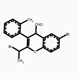 Cc1ccccc1C1=C(C(C)Br)Oc2ccc(Br)cc2C1C=O